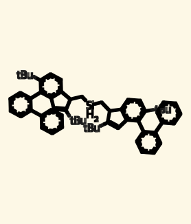 CC(C)(C)C1=Cc2c(ccc(C(C)(C)C)c2-c2ccccc2-c2ccccc2)C1C[SiH2]CC1C(C(C)(C)C)=Cc2c1ccc(C(C)(C)C)c2-c1ccccc1-c1ccccc1